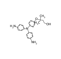 CC(C)(CCO)Oc1ccc(N(c2ccc(N)cc2)c2ccc(N)cc2)cc1